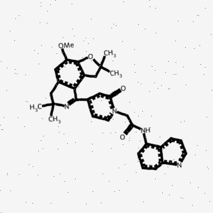 COc1cc2c(c3c1OC(C)(C)C3)C(c1ccn(CC(=O)Nc3cccc4ncccc34)c(=O)c1)=NC(C)(C)C2